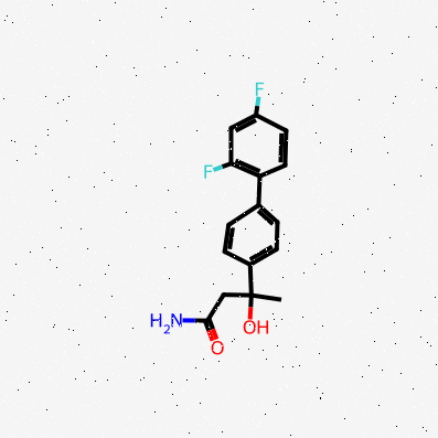 CC(O)(CC(N)=O)c1ccc(-c2ccc(F)cc2F)cc1